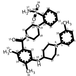 Cc1cccc(N2CCC(Nc3cc(C(=O)N4CCN(c5ccccc5S(N)(=O)=O)CC4)c(C)cc3C)CC2)c1